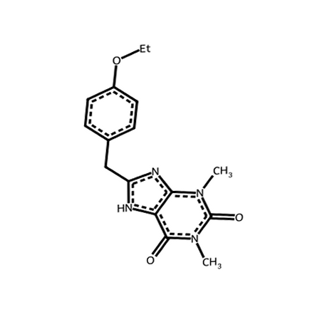 CCOc1ccc(Cc2nc3c([nH]2)c(=O)n(C)c(=O)n3C)cc1